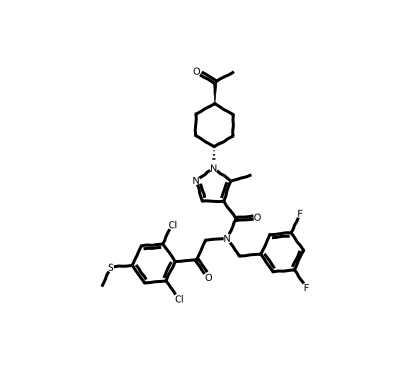 CSc1cc(Cl)c(C(=O)CN(Cc2cc(F)cc(F)c2)C(=O)c2cnn([C@H]3CC[C@H](C(C)=O)CC3)c2C)c(Cl)c1